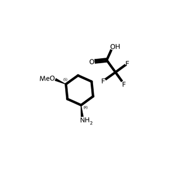 CO[C@H]1CCC[C@@H](N)C1.O=C(O)C(F)(F)F